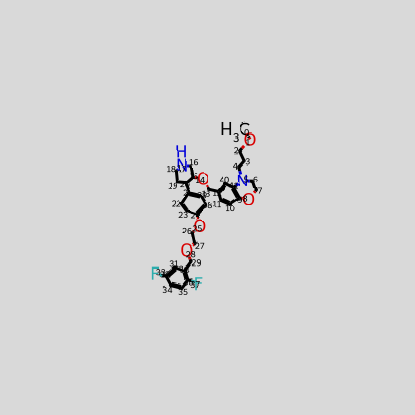 COCCCN1CCOc2ccc(COC3CNCCC3c3ccc(OCCOCc4cc(F)ccc4F)cc3)cc21